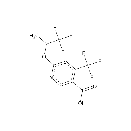 CC(Oc1cc(C(F)(F)F)c(C(=O)O)cn1)C(F)(F)F